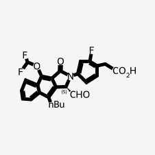 CCCCc1c2c(c(OC(F)F)c3ccccc13)C(=O)N(c1ccc(CC(=O)O)c(F)c1)[C@@H]2C=O